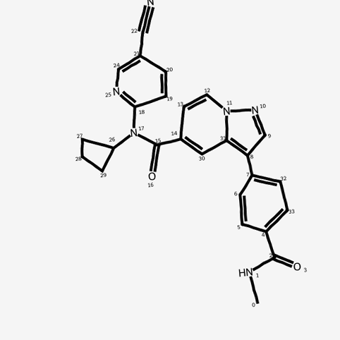 CNC(=O)c1ccc(-c2cnn3ccc(C(=O)N(c4ccc(C#N)cn4)C4CCC4)cc23)cc1